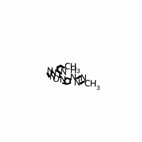 Cc1cnc(NC2CC3CC2N(C(=O)c2nc(C)ccc2-n2nccn2)C3)cn1